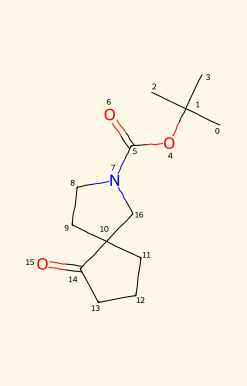 CC(C)(C)OC(=O)N1CCC2(CCCC2=O)C1